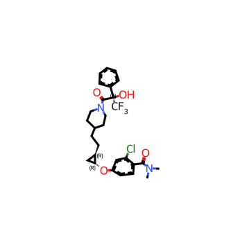 CN(C)C(=O)c1ccc(O[C@@H]2C[C@H]2CCC2CCN(C(=O)[C@](O)(c3ccccc3)C(F)(F)F)CC2)cc1Cl